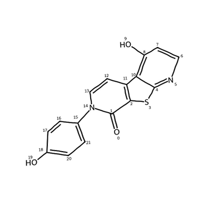 O=c1c2sc3nccc(O)c3c2ccn1-c1ccc(O)cc1